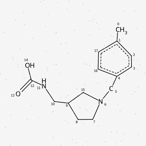 Cc1ccc(CN2CCC(CNC(=O)O)C2)cc1